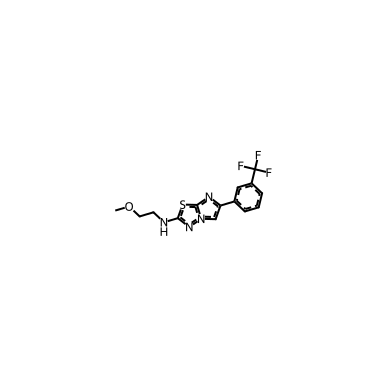 COCCNc1nn2cc(-c3cccc(C(F)(F)F)c3)nc2s1